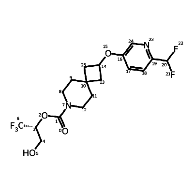 O=C(O[C@H](CO)C(F)(F)F)N1CCC2(CC1)CC(Oc1ccc(C(F)F)nc1)C2